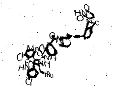 COc1cc(C(=O)N2CCC[C@@]3(C[C@H]3C#Cc3cccc4c3CN([C@@H]3CCC(=O)NC3=O)C4=O)C2)ccc1NC(=O)[C@@H]1N[C@@H](CC(C)(C)C)[C@@]2(CNc3cc(Cl)ccc32)[C@H]1c1cccc(Cl)c1F